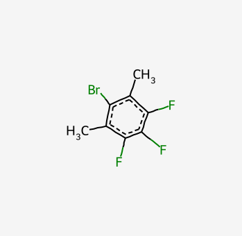 Cc1c(F)c(F)c(F)c(C)c1Br